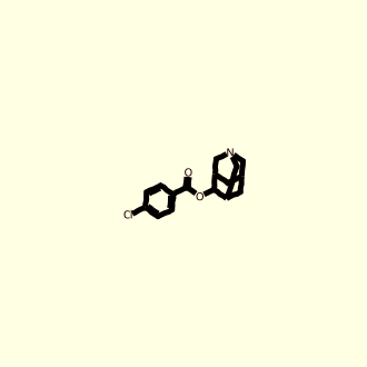 O=C(OC1C2CC3CC1CN(C3)C2)c1ccc(Cl)cc1